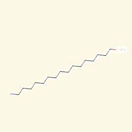 OCCCCCCCCCCCCCCCCI